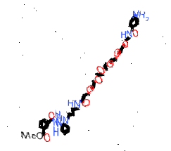 COC(=O)c1cccc(C(=O)NNc2ccccc2NCCCCCNC(=O)CCOCCOCCOCCOCCOCCOCCNC(=O)c2ccc(N)cc2)c1